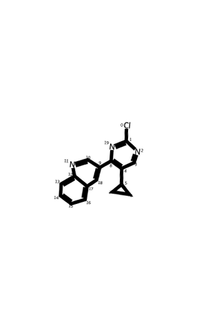 Clc1ncc(C2CC2)c(-c2cnc3ccccc3c2)n1